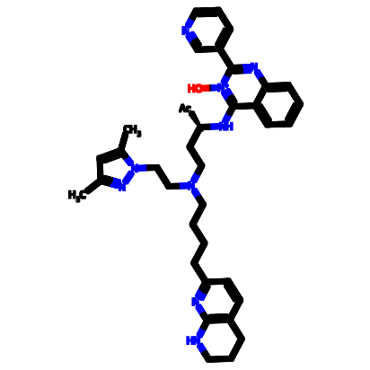 CC(=O)[C@H](CCN(CCCCc1ccc2c(n1)NCCC2)CCn1nc(C)cc1C)Nc1c2ccccc2nc(-c2cccnc2)[n+]1O